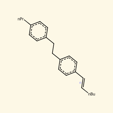 CCCC/C=C/c1ccc(CCc2ccc(CCC)cc2)cc1